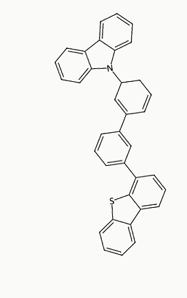 C1=CC(c2cccc(-c3cccc4c3sc3ccccc34)c2)=CC(n2c3ccccc3c3ccccc32)C1